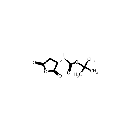 CC(C)(C)OC(=O)N[C@H]1CC(=O)OC1=O